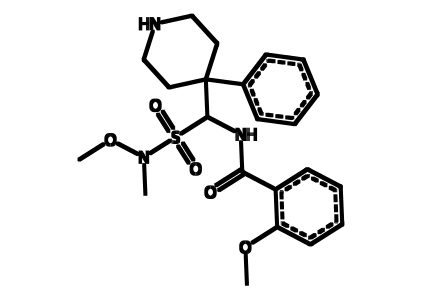 COc1ccccc1C(=O)NC(C1(c2ccccc2)CCNCC1)S(=O)(=O)N(C)OC